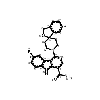 NC(=O)c1cnc(N2CCC3(CC2)OCc2ccccc23)c2c1[nH]c1ccc(F)cc12